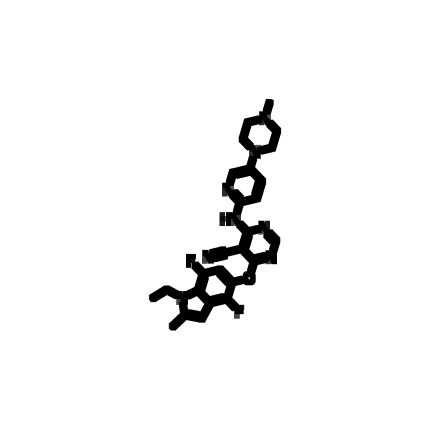 CCn1c(C)cc2c(F)c(Oc3ncnc(Nc4ccc(N5CCN(C)CC5)cn4)c3C#N)cc(F)c21